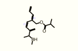 C=C/C=C(\C=C/C(=C)C(C)BC)COC(=O)C(C)C